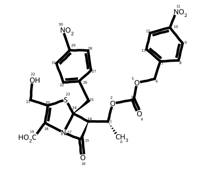 C[C@@H](OC(=O)OCc1ccc([N+](=O)[O-])cc1)[C@H]1C(=O)N2C(C(=O)O)=C(CO)S[C@]12Cc1ccc([N+](=O)[O-])cc1